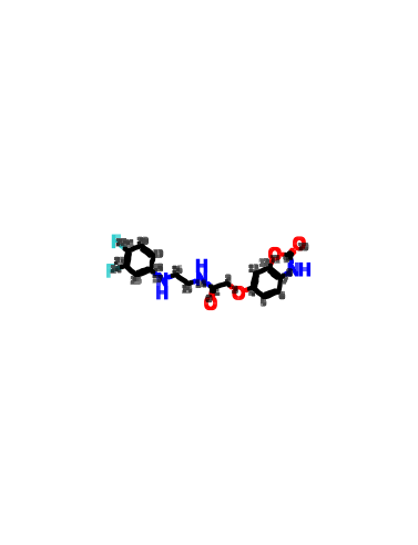 O=C(COc1ccc2[nH]c(=O)oc2c1)NCCNc1ccc(F)c(F)c1